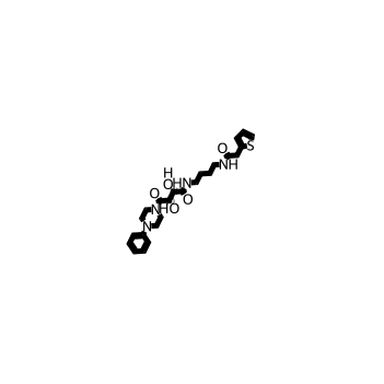 O=C(Cc1cccs1)NCCCCNC(=O)[C@H](O)[C@@H](O)C(=O)N1CCN(c2ccccc2)CC1